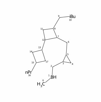 CBCC1CC1CC1C(CC(C)CC)CC1C1CC(CCC)C1